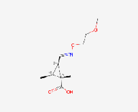 COCCON=C[C@@H]1[C@H](C)[C@@]1(C)C(=O)O